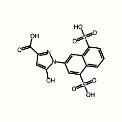 O=C(O)c1cc(O)n(-c2cc(S(=O)(=O)O)c3cccc(S(=O)(=O)O)c3c2)n1